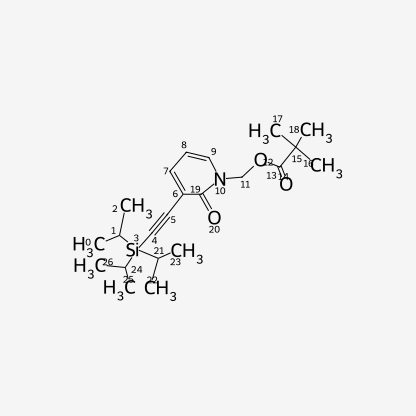 CC(C)[Si](C#Cc1cccn(COC(=O)C(C)(C)C)c1=O)(C(C)C)C(C)C